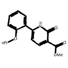 CCCOc1ccccc1-c1ccc(C(=O)OC)c(=O)[nH]1